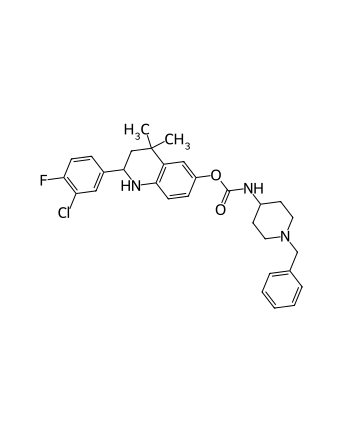 CC1(C)CC(c2ccc(F)c(Cl)c2)Nc2ccc(OC(=O)NC3CCN(Cc4ccccc4)CC3)cc21